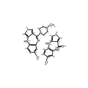 CN1CCN(C2=Nc3cc(Cl)ccc3Nc3cscc32)CC1.O=C1Nc2cc(Cl)ccc2Nc2cscc21